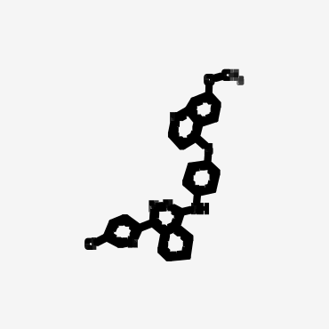 COc1ccc2c(Sc3ccc(Nc4nnc(-c5ccc(Cl)cn5)c5ccccc45)cc3)ccnc2c1